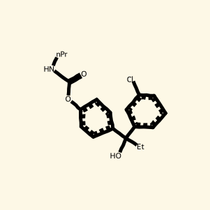 CCCNC(=O)Oc1ccc(C(O)(CC)c2cccc(Cl)c2)cc1